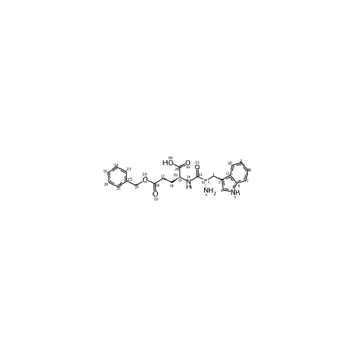 N[C@@H](Cc1c[nH]c2ccccc12)C(=O)N[C@@H](CCC(=O)OCc1ccccc1)C(=O)O